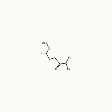 CCC(CC)C(=O)CC[C@H](C)SSC